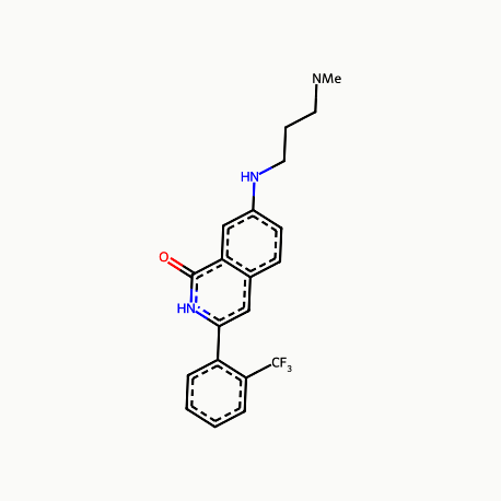 CNCCCNc1ccc2cc(-c3ccccc3C(F)(F)F)[nH]c(=O)c2c1